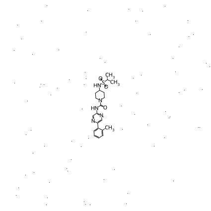 Cc1ccccc1-c1cnc(NC(=O)N2CCC(NS(=O)(=O)C(C)C)CC2)cn1